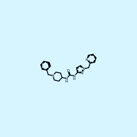 O=C(Nc1ccn(Cc2ccccn2)n1)NC1CCN(Cc2c#cccc2)CC1